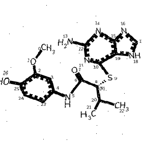 COc1cc(NC(=O)[C@H](Sc2nc(N)nc3nc[nH]c23)C(C)C)ccc1O